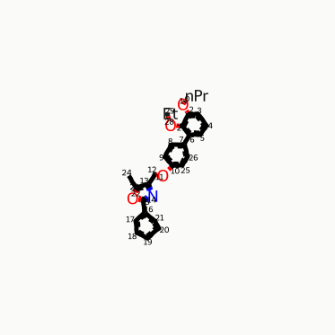 CCCOc1cccc(-c2ccc(OCc3nc(-c4ccccc4)oc3C)cc2)c1OCC